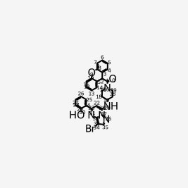 O=C(C1c2ccccc2Oc2ccccc21)N1CCC(Nc2cc(-c3ccccc3O)nc3c(Br)cnn23)CC1